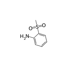 CS(=O)(=O)c1ccccc1N